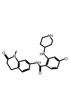 CN1C(=O)CCc2ccc(NC(=O)c3ccc(Cl)cc3NC3CCNCC3)cc21